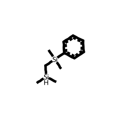 C[SiH](C)C[Si](C)(C)c1ccccc1